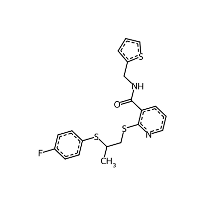 CC(CSc1ncccc1C(=O)NCc1cccs1)Sc1ccc(F)cc1